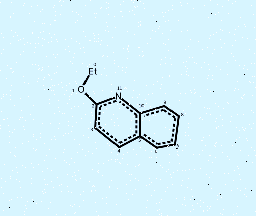 CCOc1ccc2c[c]ccc2n1